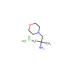 CC(C)(N)CN1CCOCC1.Cl.Cl